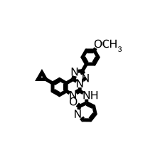 COc1ccc(-c2nc3c4cc(C5CC5)ccc4nc(Nc4ccccnc4=O)n3n2)cc1